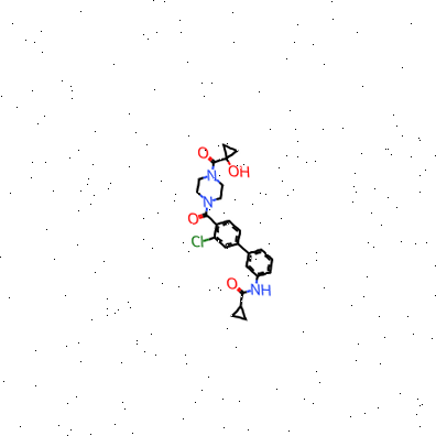 O=C(Nc1cccc(-c2ccc(C(=O)N3CCN(C(=O)C4(O)CC4)CC3)c(Cl)c2)c1)C1CC1